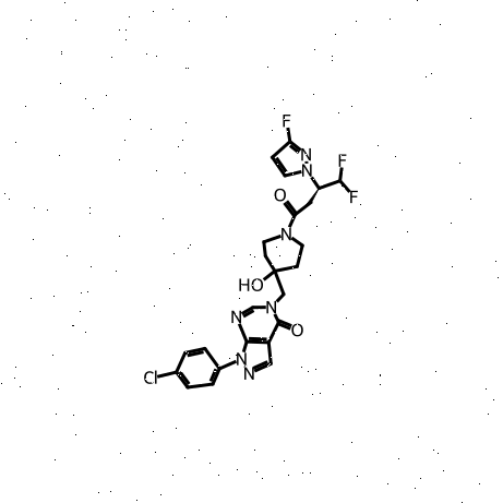 O=C(C[C@H](C(F)F)n1ccc(F)n1)N1CCC(O)(Cn2cnc3c(cnn3-c3ccc(Cl)cc3)c2=O)CC1